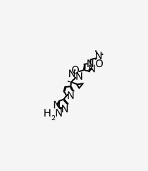 CN(C)C(=O)Cn1cc(-c2nc([C@@](C)(c3ccc(-c4cnc(N)nc4)nc3)C3CC3)no2)cn1